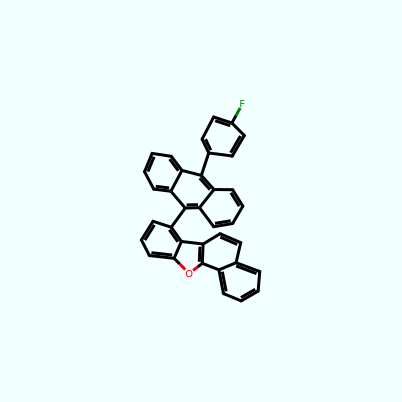 Fc1ccc(-c2c3ccccc3c(-c3cccc4oc5c6ccccc6ccc5c34)c3ccccc23)cc1